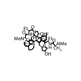 CC[C@H](NC(=O)[C@H](C)NC)C(=O)N1C[C@@H](O)C[C@H]1Cc1c(-c2c(C[C@@H]3C[C@H](O)CN3C(=O)[C@H](CC)NC(=O)[C@H](C)NC)c3cccc4c3n2CCC4)[nH]c2cc(F)ccc12